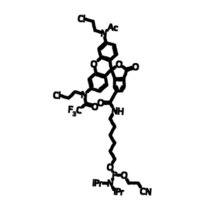 CC(=O)N(CCCl)c1ccc2c(c1)Oc1cc(N(CCCl)C(=O)C(F)(F)F)ccc1C21OC(=O)c2ccc(C(=O)NCCCCCCOP(OCCC#N)N(C(C)C)C(C)C)cc21